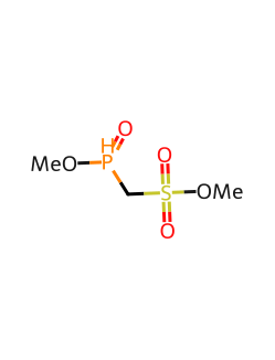 CO[PH](=O)CS(=O)(=O)OC